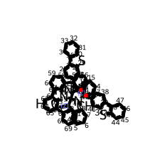 C/C=C(/c1ccccc1)C(Cc1ccccc1)(N(C)/C(=N\C(=N)c1ccc2c(c1)sc1ccccc12)c1ccc2c(c1)sc1ccccc12)n1c2c(-c3ccccc3)cccc2c2cccc(-c3ccccc3)c21